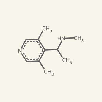 CNC(C)c1c(C)cncc1C